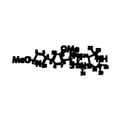 COc1ccc(-c2ccc(-c3nnc(N(C)C4CC(C)(C)NC(C)(C)C4)s3)c(OC)c2)cn1